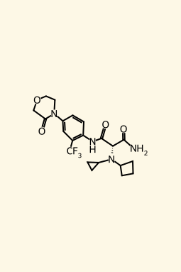 NC(=O)[C@@H](C(=O)Nc1ccc(N2CCOCC2=O)cc1C(F)(F)F)N(C1CCC1)C1CC1